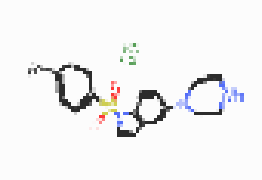 CCCc1ccc(S(=O)(=O)n2ccc3cc(N4CCNCC4)ccc32)cc1.Cl.Cl